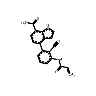 C=CC(=O)Nc1cccc(-c2ccc(C(N)=O)c3[nH]ccc23)c1C#N